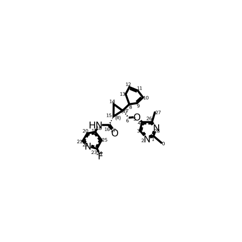 Cc1ncc(OC[C@@]2(C3C=CC=CC3)C[C@H]2C(=O)Nc2ccnc(F)c2)c(C)n1